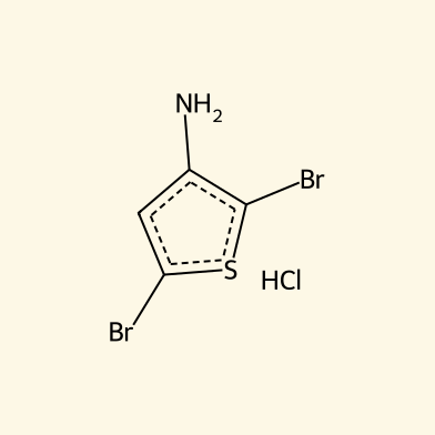 Cl.Nc1cc(Br)sc1Br